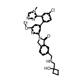 CCOc1cc(-c2ccc(Cl)cc2-c2nncn2C)cc(N2Cc3ccc(CNCC4(O)CCC4)cc3C2=O)n1